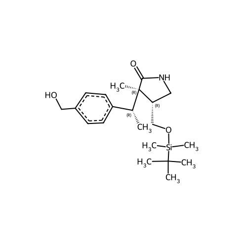 C[C@H](c1ccc(CO)cc1)[C@@]1(C)C(=O)NC[C@@H]1CO[Si](C)(C)C(C)(C)C